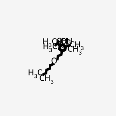 CC(C)CCCCCOCCCc1cc(C(C)(C)C)c(O)c(C(C)(C)C)c1